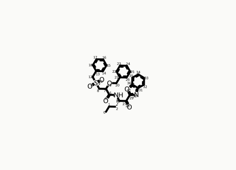 CCC[C@H](NC(=O)C(CS(=O)(=O)Cc1ccccc1)OCc1ccccc1)C(=O)c1nc2ccccc2o1